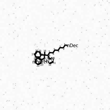 CCCCCCCCCCCCCCCCCC(c1nccn1CCCCC)C(C)(Cc1ccccc1)c1ccccc1